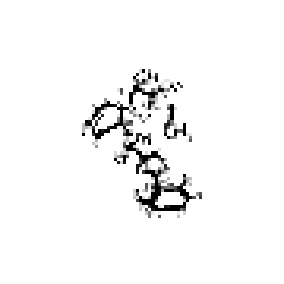 CC[C@H]1O[C@@H](c2ccncc2NC(=O)c2csc(-c3c(F)cccc3F)n2)C[C@@H](O)[C@@H]1O